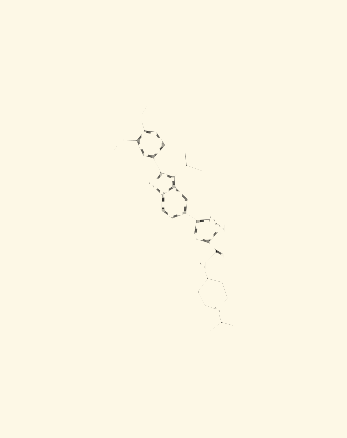 COc1ccc(-c2[nH]c3ccc(-c4nnc(C(=O)NC5CCN(C(C)C)CC5)o4)cc3c2C(C)C)cc1OC